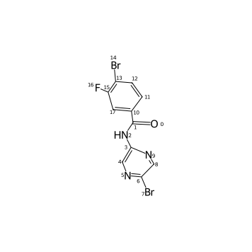 O=C(Nc1cnc(Br)cn1)c1ccc(Br)c(F)c1